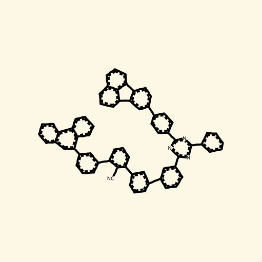 N#Cc1c(-c2cccc(-c3cccc(-c4nc(-c5ccccc5)nc(-c5ccc(-c6ccc7c(c6)-c6cccc8cccc-7c68)cc5)n4)c3)c2)cccc1-c1cccc(-c2cc3ccccc3c3ccccc23)c1